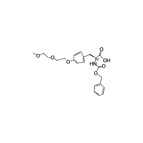 COCCOCCOc1ccc(C[C@H](NC(=O)OCc2ccccc2)C(=O)O)cc1